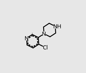 Clc1ccn[c]c1N1CCNCC1